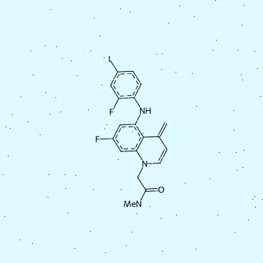 C=C1C=CN(CC(=O)NC)c2cc(F)cc(Nc3ccc(I)cc3F)c21